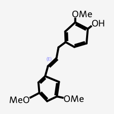 COc1cc(/C=C/Cc2ccc(O)c(OC)c2)cc(OC)c1